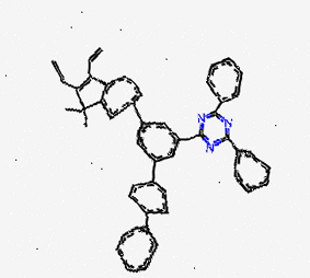 C=CC1=C(C=C)C(C)(C)c2cc(-c3cc(-c4ccc(-c5ccccc5)cc4)cc(-c4nc(-c5ccccc5)nc(-c5ccccc5)n4)c3)ccc21